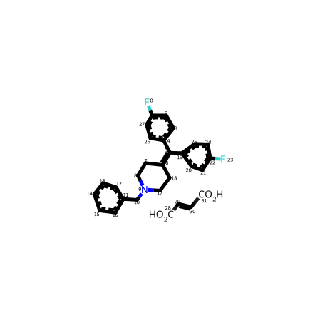 Fc1ccc(C(=C2CCN(Cc3ccccc3)CC2)c2ccc(F)cc2)cc1.O=C(O)C=CC(=O)O